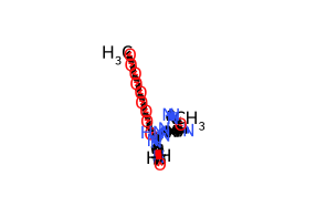 COCCOCCOCCOCCOCCOCCOCCOCCCOc1nn([C@H]2CC[C@H](N3[C@@H]4CC[C@H]3COC4)CC2)cc1Nc1ncc(-c2ccc(C#N)c(O[C@@H](C)Cn3cncn3)c2)cn1